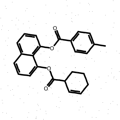 Cc1ccc(C(=O)Oc2cccc3cccc(OC(=O)C4C=CCCC4)c23)cc1